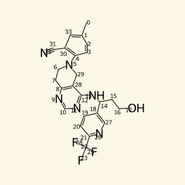 Cc1ccc(N2CCc3ncnc(NC(CCO)c4ccc(C(F)(F)F)nc4)c3C2)c(C#N)c1